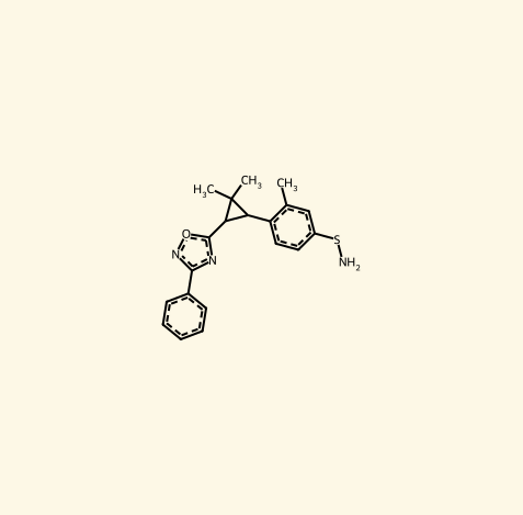 Cc1cc(SN)ccc1C1C(c2nc(-c3ccccc3)no2)C1(C)C